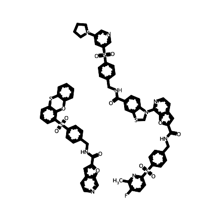 Cc1nc(S(=O)(=O)c2ccc(CNC(=O)c3cc4ccnc(N5CSc6cc(C(=O)NCc7ccc(S(=O)(=O)c8cncc(N9CCCC9)c8)cc7)ccc65)c4o3)cc2)ccc1F.O=C(NCc1ccc(S(=O)(=O)c2cccc3c2Oc2ccccc2S3)cc1)c1cc2ccncc2o1